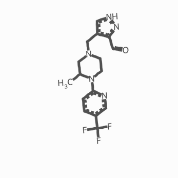 CC1CN(Cc2c[nH]nc2C=O)CCN1c1ccc(C(F)(F)F)cn1